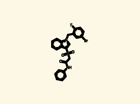 O=C(CS(=O)(=O)c1cn(Cc2cc(Br)ccc2F)c2ccccc12)Nc1ccccc1